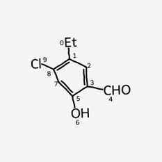 CCc1cc(C=O)c(O)cc1Cl